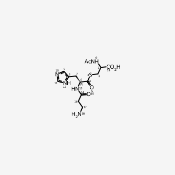 CC(=O)NC(CSC(=O)[C@H](Cc1cnc[nH]1)NC(=O)CCN)C(=O)O